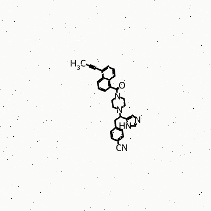 CC#Cc1cccc2c(C(=O)N3CCN(C(Cc4ccc(C#N)cc4)c4cnc[nH]4)CC3)cccc12